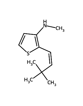 CNc1ccsc1/C=C\C(C)(C)C